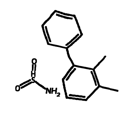 Cc1cccc(-c2ccccc2)c1C.N[SH](=O)=O